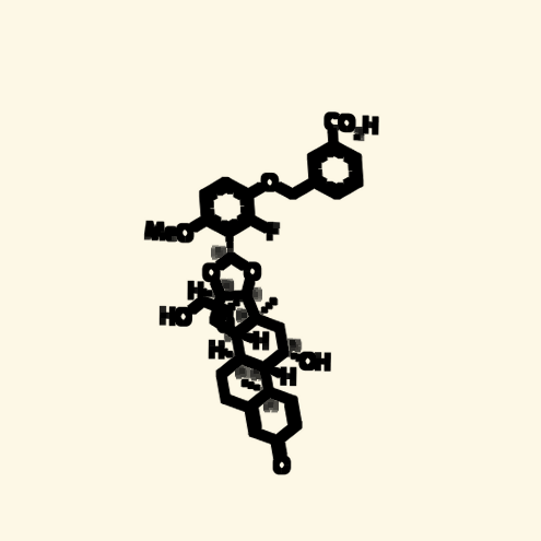 COc1ccc(OCc2cccc(C(=O)O)c2)c(F)c1[C@H]1O[C@@H]2C[C@H]3[C@@H]4CCC5=CC(=O)C=C[C@]5(C)[C@H]4[C@@H](O)C[C@]3(C)[C@]2(C(=O)CO)O1